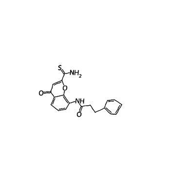 NC(=S)c1cc(=O)c2cccc(NC(=O)CCc3ccccc3)c2o1